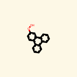 OOc1ccc2c3ccccc3c3ccccc3c2c1